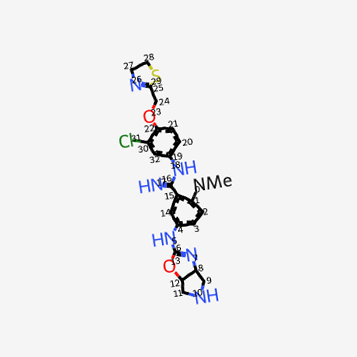 CNc1ccc(NC2=NC3CNCC3O2)cc1C(=N)Nc1ccc(OCC2=NCCS2)c(Cl)c1